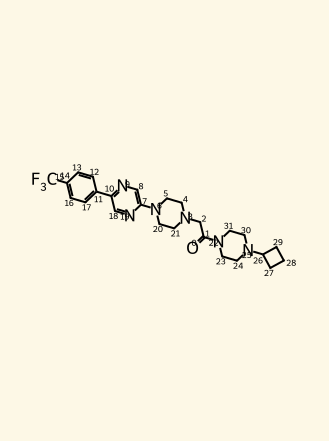 O=C(CN1CCN(c2cnc(-c3ccc(C(F)(F)F)cc3)cn2)CC1)N1CCN(C2CCC2)CC1